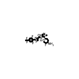 Cn1ncc(NC(O)c2csc(-c3c(F)cc(C(C)(F)F)cc3F)n2)c1[C@@H]1CC[C@@H](N)[C@H](F)CO1